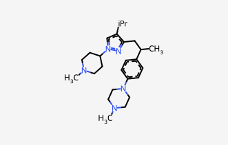 CC(C)c1cn(C2CCN(C)CC2)nc1CC(C)c1ccc(N2CCN(C)CC2)cc1